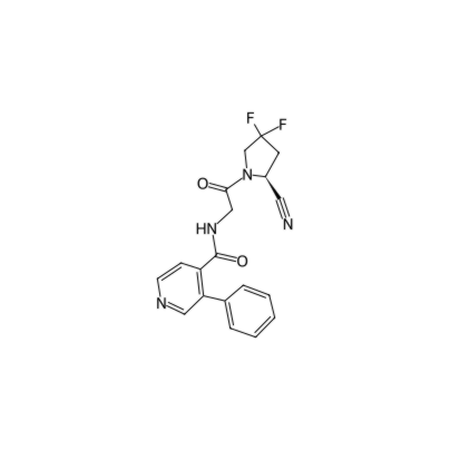 N#C[C@@H]1CC(F)(F)CN1C(=O)CNC(=O)c1ccncc1-c1ccccc1